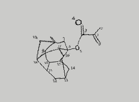 C=C(C)C(=O)OC12CC3CC4C5CC(CC41)CC2C5C3